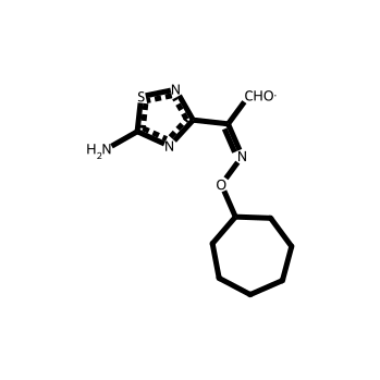 Nc1nc(C([C]=O)=NOC2CCCCCC2)ns1